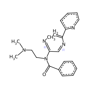 C=C(/N=C\C(=N/C)N(CCN(C)C)C(=O)c1ccccc1)c1ccccn1